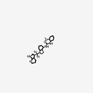 [2H]C([2H])(c1c[nH]c2ncccc12)N1CCc2c(NC(=O)Nc3ccccc3OC)cccc21